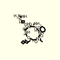 CCC[C@H]1C(=O)N[C@@H](C2CCCCCC2)C(=O)N[C@@H](CN)C(=O)N[C@@H](COC2CC(NC(=N)N)C2)C(=O)N[C@H](C)CO[C@H](CC2CC3(CCC3)C2)[C@@H](C)C(=O)N1C